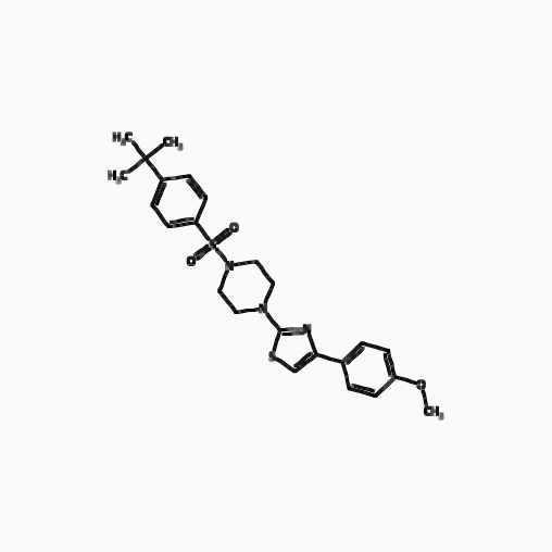 COc1ccc(-c2csc(N3CCN(S(=O)(=O)c4ccc(C(C)(C)C)cc4)CC3)n2)cc1